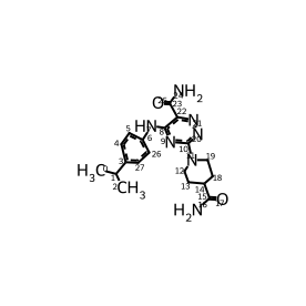 CC(C)c1ccc(Nc2nc(N3CCC(C(N)=O)CC3)nnc2C(N)=O)cc1